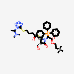 CC(N(C)C)n1nnnc1SCCCC(=O)S[C@@H]1[C@@H](CO)C(=O)N1C(C(=O)OCC[Si](C)(C)C)=P(c1ccccc1)(c1ccccc1)c1ccccc1